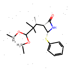 C[SiH2]OC(O[SiH2]C)C(C)(C)[C@H](C)[C@@H]1C(=O)N[C@@H]1Sc1ccccc1